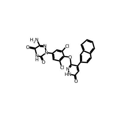 Nc1nn(-c2cc(Cl)c(Oc3n[nH]c(=O)cc3-c3ccc4ccccc4c3)c(Cl)c2)c(=O)[nH]c1=O